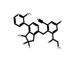 CCC(F)c1cc(F)cc(C#N)c1Cc1ccc(-c2cccnc2N)c2c1CC(F)(F)C2O